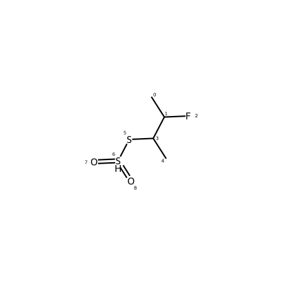 CC(F)C(C)S[SH](=O)=O